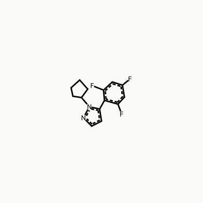 Fc1cc(F)c(-c2ccnn2C2CCCC2)c(F)c1